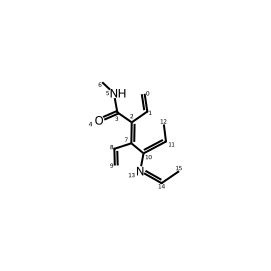 C=C\C(C(=O)NC)=C(C=C)/C(=C\C)/N=C\C